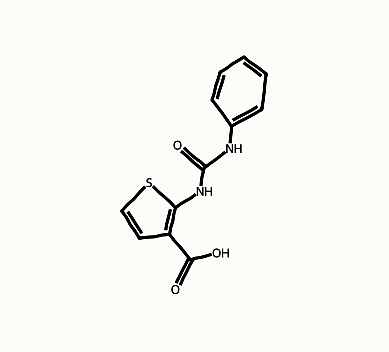 O=C(Nc1ccccc1)Nc1sccc1C(=O)O